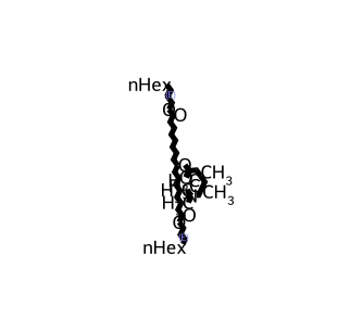 CCCCCC/C=C/COC(=O)CCCCCCCC(CCCCCCCC(=O)OC/C=C/CCCCCC)OC(=O)CC(C)(C)CC(C)(C)CN(C)C